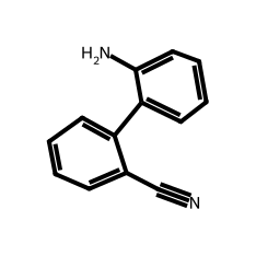 N#Cc1ccccc1-c1ccccc1N